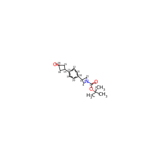 CC(C)(C)OC(=O)N1CC(c2ccc(C3CC(=O)C3)cc2)C1